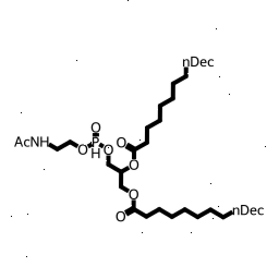 CCCCCCCCCCCCCCCCCC(=O)OCC(CO[PH](=O)OCCNC(C)=O)OC(=O)CCCCCCCCCCCCCCCCC